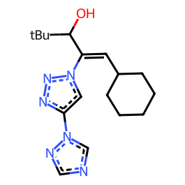 CC(C)(C)C(O)/C(=C/C1CCCCC1)n1cc(-n2cncn2)nn1